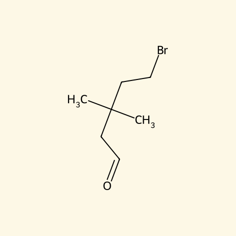 CC(C)(CC=O)CCBr